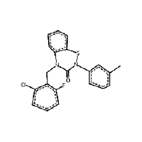 Cc1cccc(N2Sc3ccccc3N(Cc3c(F)cccc3Cl)C2=O)c1